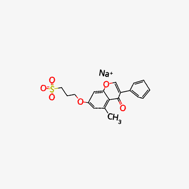 Cc1cc(OCCCS(=O)(=O)[O-])cc2occ(-c3ccccc3)c(=O)c12.[Na+]